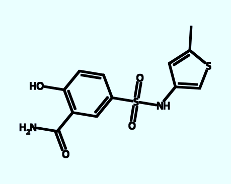 Cc1cc(NS(=O)(=O)c2ccc(O)c(C(N)=O)c2)cs1